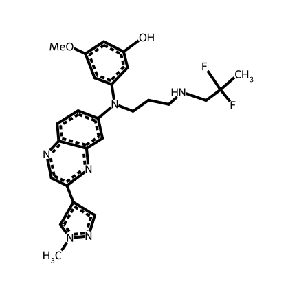 COc1cc(O)cc(N(CCCNCC(C)(F)F)c2ccc3ncc(-c4cnn(C)c4)nc3c2)c1